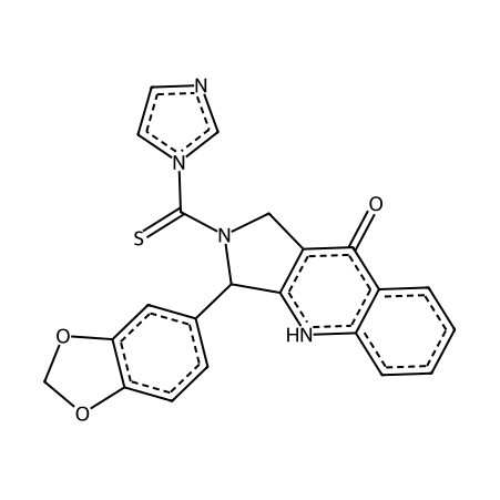 O=c1c2c([nH]c3ccccc13)C(c1ccc3c(c1)OCO3)N(C(=S)n1ccnc1)C2